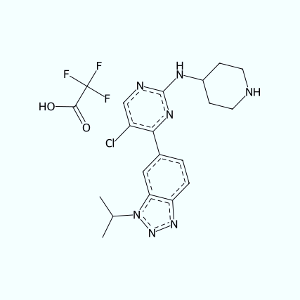 CC(C)n1nnc2ccc(-c3nc(NC4CCNCC4)ncc3Cl)cc21.O=C(O)C(F)(F)F